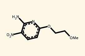 COCCOc1c[c]c([N+](=O)[O-])c(N)n1